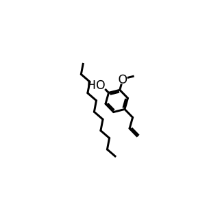 C=CCc1ccc(O)c(OC)c1.CCCCCCCCCCC